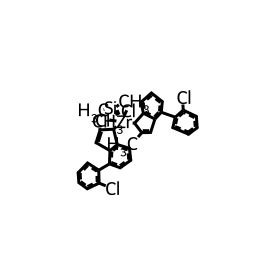 CC1=Cc2c(-c3ccccc3Cl)cccc2[CH]1[Zr]([Cl])([Cl])([CH]1C(C)=Cc2c(-c3ccccc3Cl)cccc21)=[Si](C)C